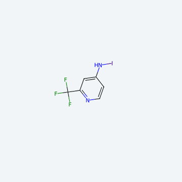 FC(F)(F)c1cc(NI)ccn1